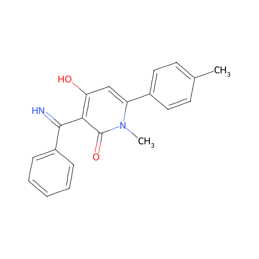 Cc1ccc(-c2cc(O)c(C(=N)c3ccccc3)c(=O)n2C)cc1